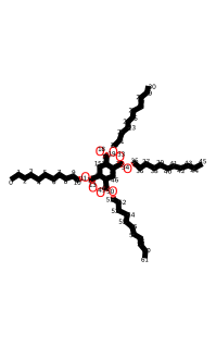 CCCCCCCCCCCOC(=O)C1CC(C(=O)OCCCCCCCCCCC)C(C(=O)OCCCCCCCCCCC)CC1C(=O)OCCCCCCCCCCC